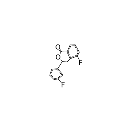 O=C1OC(c2cccc(F)c2)Cc2c(F)cccc21